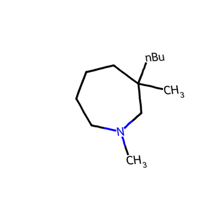 CCCCC1(C)CCCCN(C)C1